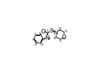 c1ccc2oc(SN3CCOCC3)nc2c1